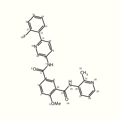 COc1ccc(C(=O)Nc2ccc(-c3ccccc3F)nc2)cc1C(=O)Nc1cccnc1C